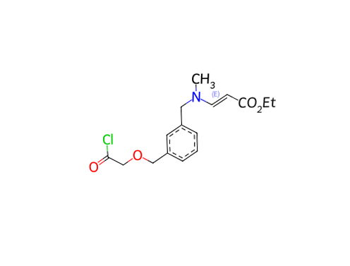 CCOC(=O)/C=C/N(C)Cc1cccc(COCC(=O)Cl)c1